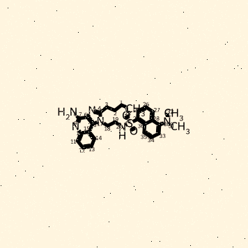 CCCCc1nc2c(N)nc3ccccc3c2n1CCNS(=O)(=O)c1cccc2c(N(C)C)cccc12